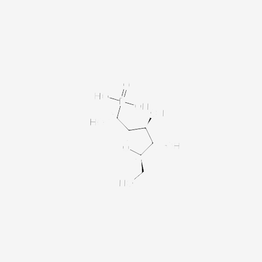 O=P(O)(O)[C@@H](O)[C@H]1O[C@H](CO)[C@@H](O)[C@@H]1O